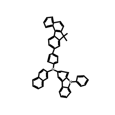 CC1(C)c2cc(-c3ccc(N(c4ccc5ccccc5c4)c4ccc5c(c4)c4ccccc4n5-c4ccccc4)cc3)ccc2-c2c1ccc1ccccc21